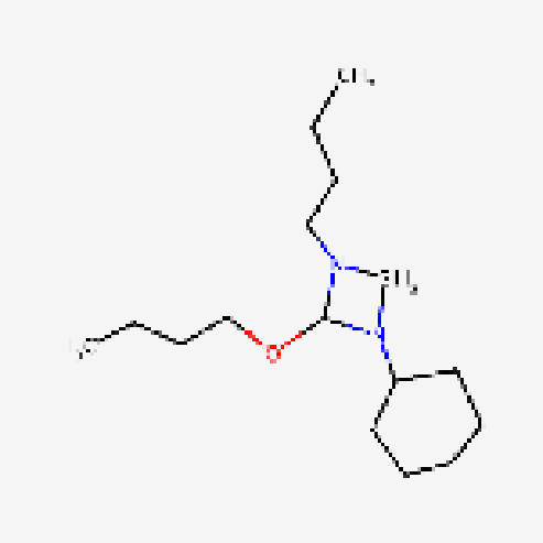 CCCCOC1N(CCCC)[SiH2]N1C1CCCCC1